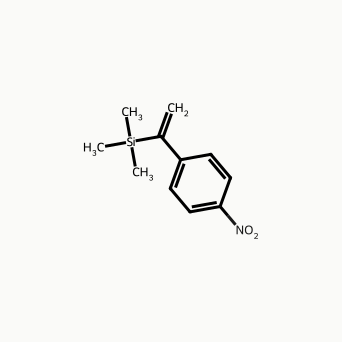 C=C(c1ccc([N+](=O)[O-])cc1)[Si](C)(C)C